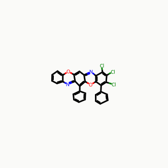 Clc1c(Cl)c2c(c(-c3ccccc3)c1Cl)Oc1c(-c3ccccc3)c3c(cc1=N2)Oc1ccccc1N=3